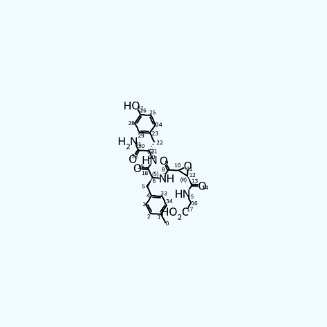 Cc1ccc(C[C@H](NC(=O)C2O[C@H]2C(=O)NCC(=O)O)C(=O)N[C@@H](Cc2ccc(O)cc2)C(N)=O)cc1